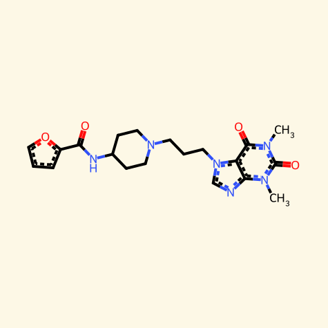 Cn1c(=O)c2c(ncn2CCCN2CCC(NC(=O)c3ccco3)CC2)n(C)c1=O